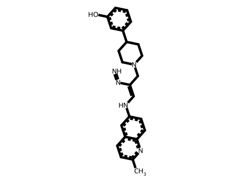 Cc1ccc2cc(N/C=C(/CN3CCC(c4cccc(O)c4)CC3)N=N)ccc2n1